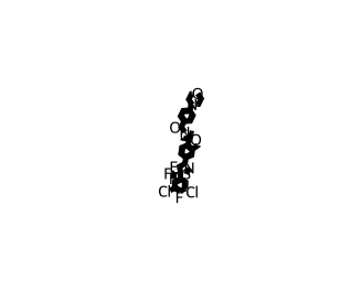 O=C(c1ccc(N2CCOCC2)cc1)N1CC2(C1)OCc1cc(C3=NS[C@@](c4cc(Cl)c(F)c(Cl)c4)(C(F)(F)F)C3)ccc12